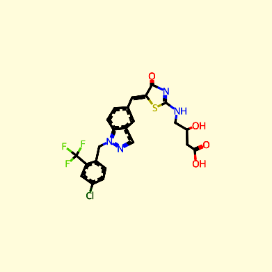 O=C(O)CC(O)CNC1=NC(=O)C(=Cc2ccc3c(cnn3Cc3ccc(Cl)cc3C(F)(F)F)c2)S1